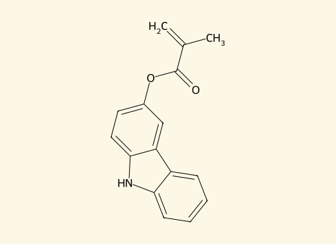 C=C(C)C(=O)Oc1ccc2[nH]c3ccccc3c2c1